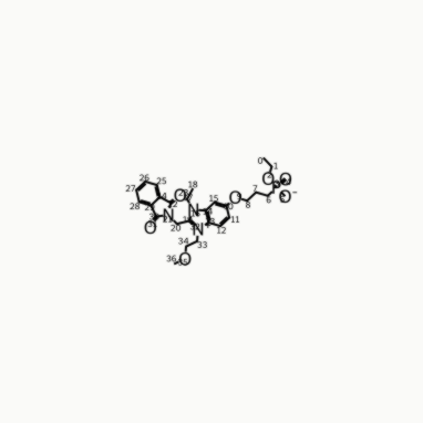 CCOP(=O)([O-])CCCOc1ccc2c(c1)n(CC)c(CN1C(=O)c3ccccc3C1=O)[n+]2CCOC